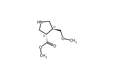 COC[C@@H]1CNC[C@H]1C(=O)OC